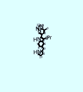 Cc1cc(-c2[nH]c3ccc(CC4CCCN4)cc3c2C(C)C)cn2ncnc12